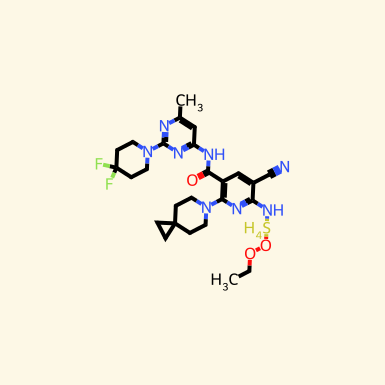 CCOO[SH4]Nc1nc(N2CCC3(CC2)CC3)c(C(=O)Nc2cc(C)nc(N3CCC(F)(F)CC3)n2)cc1C#N